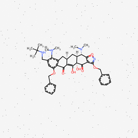 CN(C)c1c(CNC(C)(C)C)cc(OCc2ccccc2)c2c1C[C@H]1C[C@H]3[C@H](N(C)C)c4onc(OCc5ccccc5)c4C(=O)[C@@]3(O)C(O)=C1C2=O